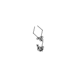 CCCCCCCC/C=C\CCCCCCCC(=O)OCC(COC(=O)CCCCCCC/C=C\CCCCCCCC)OC(=O)CC(C)CCCCCCC(=O)n1ccc2c(N(C)[C@H]3CN(C(=O)CC#N)CC[C@H]3C)ncnc21